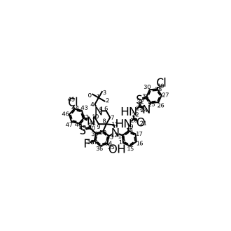 CC(C)(C)CN1CCC2(CC1)CN(c1ccccc1NC(=O)Nc1nc3ccc(Cl)cc3s1)c1c(O)cc(F)c(-c3nc4cc(Cl)ccc4s3)c12